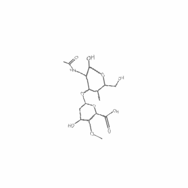 COC1C(O)CC(OC2C(C)C(CO)OC(O)C2NC(C)=O)OC1C(=O)O